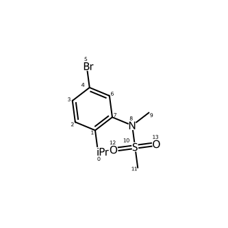 CC(C)c1ccc(Br)cc1N(C)S(C)(=O)=O